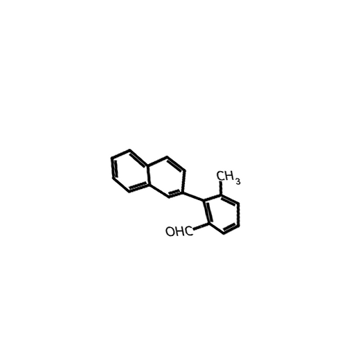 Cc1cccc(C=O)c1-c1ccc2ccccc2c1